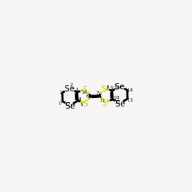 C1C[Se]C2=C(SC(=C3SC4=C(S3)[Se]CC[Se]4)S2)[Se]1